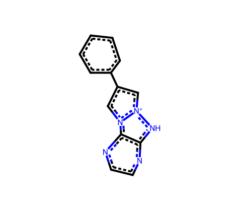 c1ccc(-c2cn3c4nccnc4[nH][n+]3c2)cc1